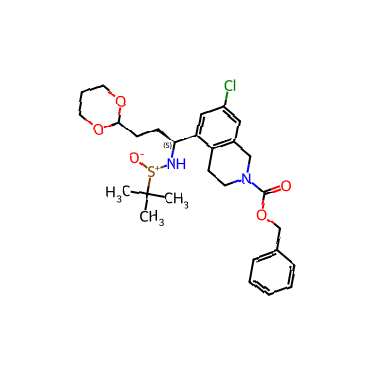 CC(C)(C)[S+]([O-])N[C@@H](CCC1OCCCO1)c1cc(Cl)cc2c1CCN(C(=O)OCc1ccccc1)C2